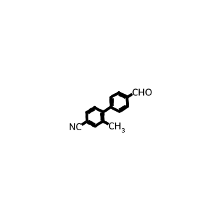 Cc1cc(C#N)ccc1-c1ccc(C=O)cc1